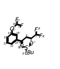 CC(C)(C)[S+]([O-])/N=C(\CCC(F)F)c1cccc(OC(F)F)c1